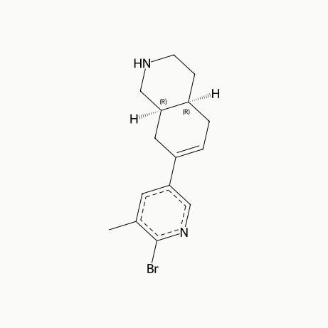 Cc1cc(C2=CC[C@@H]3CCNC[C@@H]3C2)cnc1Br